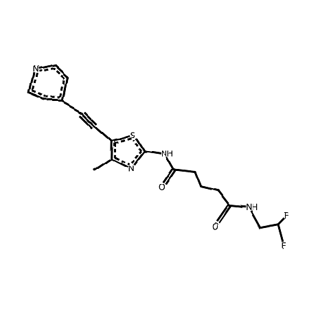 Cc1nc(NC(=O)CCCC(=O)NCC(F)F)sc1C#Cc1ccncc1